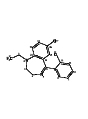 FC(F)(F)CN1CCN=C(c2ccccc2Cl)c2cc(Cl)ccc21